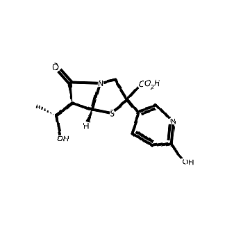 C[C@@H](O)[C@H]1C(=O)N2CC(C(=O)O)(c3ccc(O)nc3)S[C@H]12